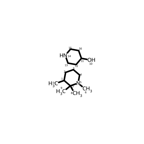 CC1CCCN(C)C1(C)C.OC1CCNCC1